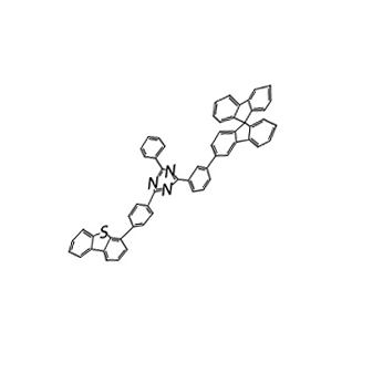 c1ccc(-c2nc(-c3ccc(-c4cccc5c4sc4ccccc45)cc3)nc(-c3cccc(-c4ccc5c(c4)-c4ccccc4C54c5ccccc5-c5ccccc54)c3)n2)cc1